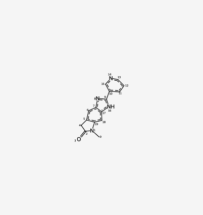 CN1C(=O)Cc2cc3nc(-c4cccnc4)[nH]c3cc21